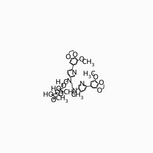 COc1cc(-c2ccc(N(C)CCN(C)c3ccc(-c4cc(OC)c5c(c4)OCCO5)nc3)cn2)cc2c1OCCO2.CS(=O)(=O)O.CS(=O)(=O)O